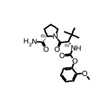 COc1ccccc1OC(=O)N[C@H](C(=O)N1CCC[C@H]1C(N)=O)C(C)(C)C